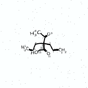 C=CCC(CC=C)(C(C)=O)C(=O)O